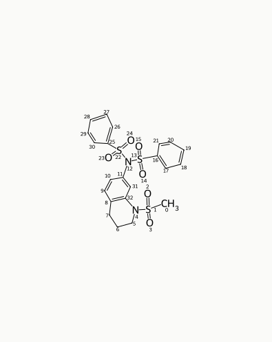 CS(=O)(=O)N1CCCc2ccc(N(S(=O)(=O)c3ccccc3)S(=O)(=O)c3ccccc3)cc21